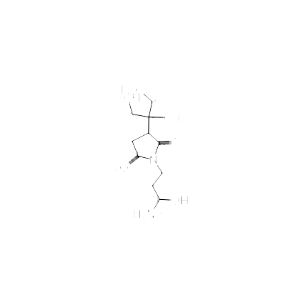 CCC(C)(CC)C1CC(=O)N(CCC(N)O)C1=O